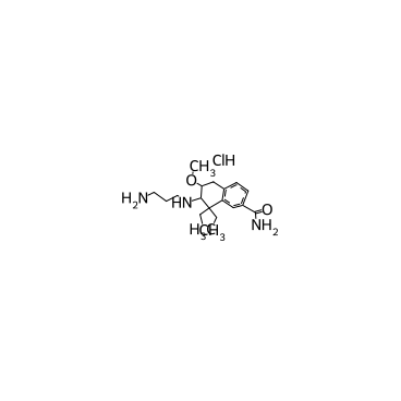 CCC1(CC)c2cc(C(N)=O)ccc2CC(OC)C1NCCCN.Cl